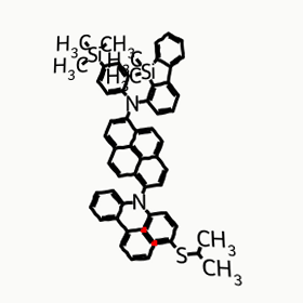 CC(C)Sc1ccc(N(c2ccccc2-c2ccccc2)c2ccc3ccc4c(N(c5ccc([Si](C)(C)C)cc5)c5cccc6c5[Si](C)(C)c5ccccc5-6)ccc5ccc2c3c54)cc1